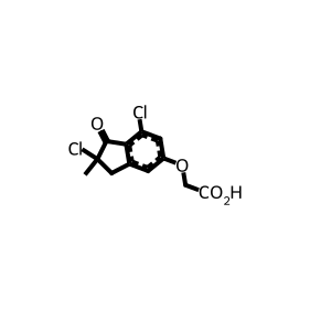 CC1(Cl)Cc2cc(OCC(=O)O)cc(Cl)c2C1=O